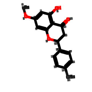 CCCCOc1cc(O)c2c(c1)OC(c1ccc(OCC(C)C)cc1)CC2=O